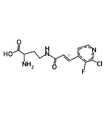 NC(CCNC(=O)/C=C/c1ccnc(Cl)c1F)C(=O)O